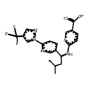 CC(C)CC(Nc1ccc(C(=O)O)cn1)c1ccc(-n2cc(C(F)(F)F)cn2)nc1